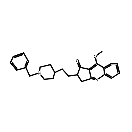 COc1c2c(nc3ccccc13)CC(CCC1CCN(Cc3ccccc3)CC1)C2=O